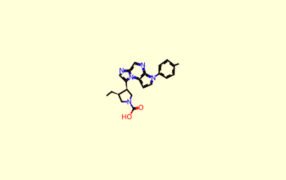 CC[C@@H]1CN(C(=O)O)C[C@@H]1c1cnc2cnc3c(ccn3-c3ccc(C)cc3)n12